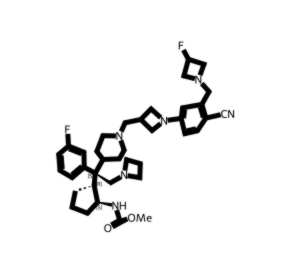 COC(=O)N[C@H]1CCC[C@@H]1[C@](CN1CCC1)(c1cccc(F)c1)C1CCN(CC2CN(c3ccc(C#N)c(CN4CC(F)C4)c3)C2)CC1